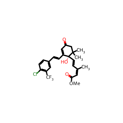 COC(=O)/C=C(C)\C=C\[C@@]1(O)C(/C=C/c2ccc(Cl)c(C(F)(F)F)c2)=CC(=O)CC1(C)C